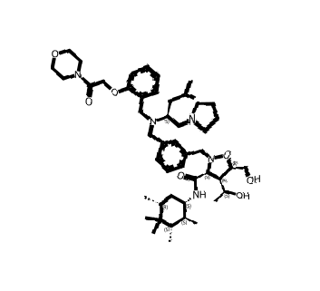 CC(C)C[C@@H](CN1CCCC1)N(Cc1cccc(CN2O[C@@H](CO)[C@@H]([C@H](C)O)[C@H]2C(=O)N[C@H]2C[C@@H](C)C(C)(C)[C@@H](C)[C@@H]2C)c1)Cc1ccccc1OCC(=O)N1CCOCC1